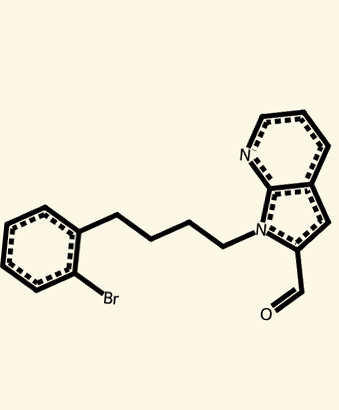 O=Cc1cc2cccnc2n1CCCCc1ccccc1Br